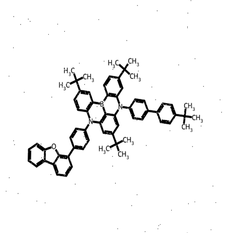 CC(C)(C)c1ccc(-c2ccc(N3c4cc(C(C)(C)C)ccc4B4c5cc(C(C)(C)C)ccc5N(c5ccc(-c6cccc7c6oc6ccccc67)cc5)c5cc(C(C)(C)C)cc3c54)cc2)cc1